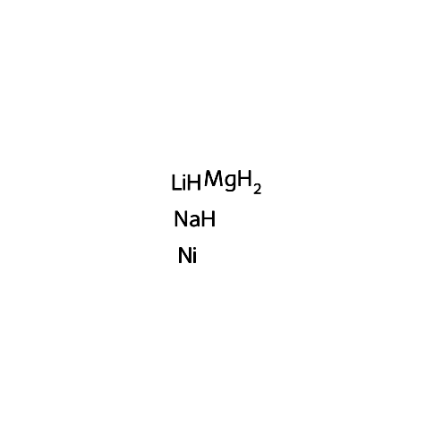 [LiH].[MgH2].[NaH].[Ni]